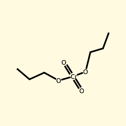 CCC[O][Cr](=[O])(=[O])[O]CCC